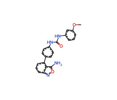 COc1cccc(NC(=O)Nc2ccc(-c3cccc4noc(N)c34)cc2)c1